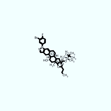 CCCC1O[C@@H]2C[C@H]3[C@@H]4CCC5=Cc6c(cnn6-c6ccc(F)c(Br)c6)C[C@]5(C)[C@H]4[C@@H](O)C[C@]3(C)[C@]2(C(=O)CO[Si](C)(C)C(C)(C)C)O1